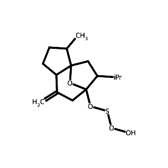 C=C1CC2(OSOO)OC3(CC2C(C)C)C(C)CCC13